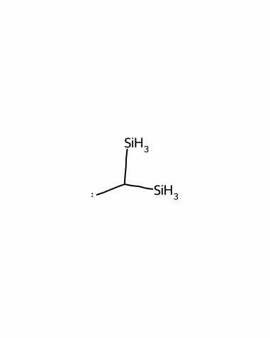 [CH]C([SiH3])[SiH3]